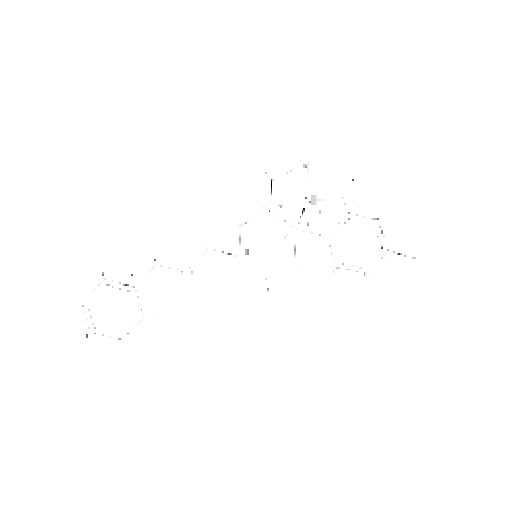 C[C@]1(COCc2ccccc2)C[C@@H](CO)[C@](N)(c2ccc(F)cc2F)CO1